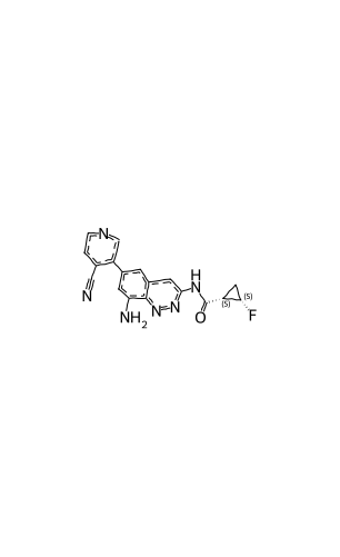 N#Cc1ccncc1-c1cc(N)c2nnc(NC(=O)[C@@H]3C[C@@H]3F)cc2c1